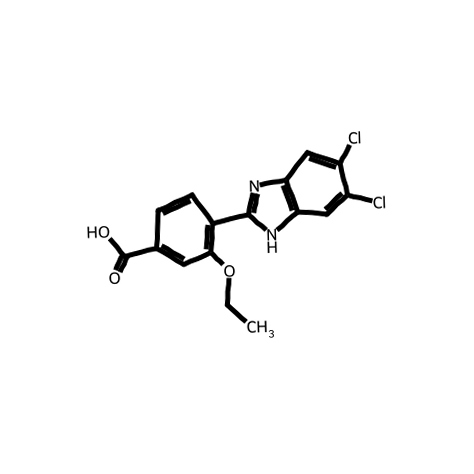 CCOc1cc(C(=O)O)ccc1-c1nc2cc(Cl)c(Cl)cc2[nH]1